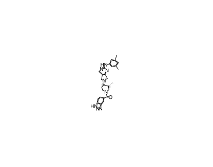 Cc1cc(C)cc(Nc2ncc3c(n2)CN([C@@H]2CCN(C(=O)c4ccc5[nH]nnc5c4)C[C@H]2C)C3)c1